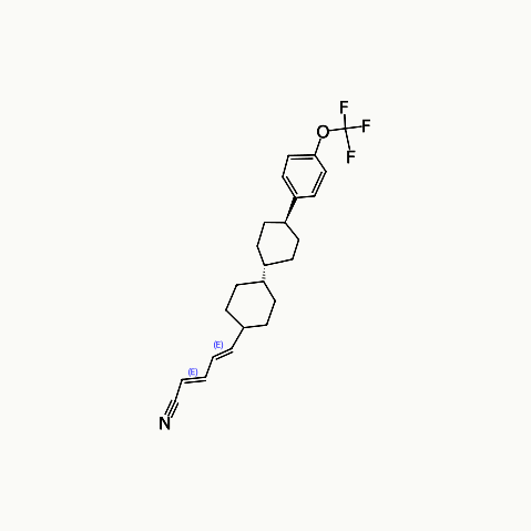 N#C/C=C/C=C/C1CCC([C@H]2CC[C@H](c3ccc(OC(F)(F)F)cc3)CC2)CC1